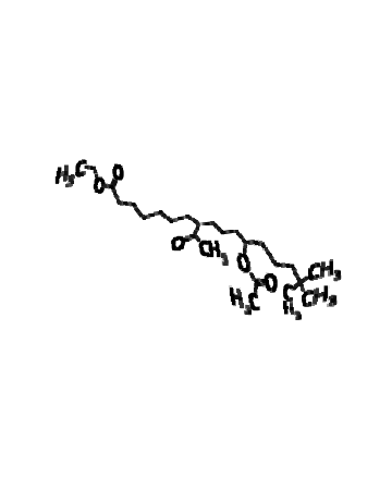 CCOC(=O)CCCCCCC(CCCC(CCCC(C)(C)C)OC(C)=O)C(C)=O